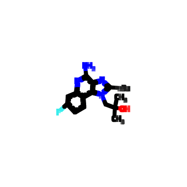 CCCCc1nc2c(N)nc3cc(F)ccc3c2n1CC(C)(C)O